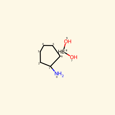 NC1CCCCC1.OBO